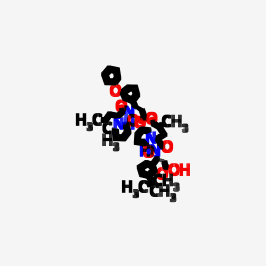 CC(C)CC(C(=O)N[C@H](CC(=O)OCC(C)CC(C(=O)N[C@H](CC(=O)O)c1cccc(C(C)(C)C)c1)n1ccccc1=O)c1cccc(Oc2ccccc2)c1)n1ccccc1=O